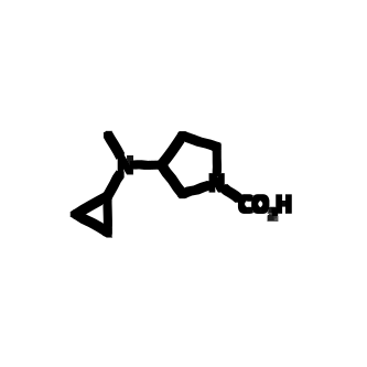 CN(C1CC1)C1CCN(C(=O)O)C1